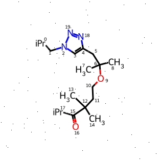 CC(C)Cn1cc(CC(C)(C)OCCC(C)(C)C(=O)C(C)C)nn1